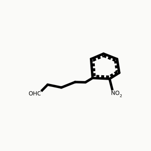 O=CCCCCc1ccccc1[N+](=O)[O-]